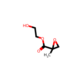 CC1(C(=O)OCCO)CO1